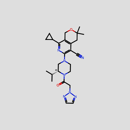 CC(C)[C@@H]1CN(c2nc(C3CC3)c3c(c2C#N)CC(C)(C)OC3)CCN1C(=O)Cn1nccn1